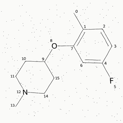 Cc1ccc(F)cc1OC1CCN(C)CC1